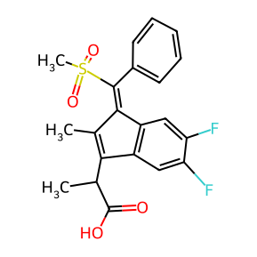 CC1=C(C(C)C(=O)O)c2cc(F)c(F)cc2C1=C(c1ccccc1)S(C)(=O)=O